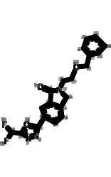 O=C1c2cc(-c3nnc(C(F)F)o3)ccc2CN1CCOCc1ccccc1